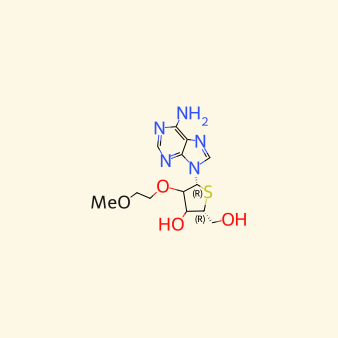 COCCOC1C(O)[C@@H](CO)S[C@H]1n1cnc2c(N)ncnc21